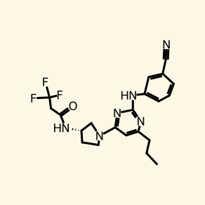 CCCc1cc(N2CC[C@H](NC(=O)CC(F)(F)F)C2)nc(Nc2cccc(C#N)c2)n1